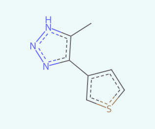 Cc1[nH]nnc1-c1ccsc1